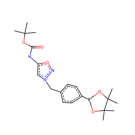 CC(C)(C)OC(=O)[N-]c1c[n+](Cc2ccc(B3OC(C)(C)C(C)(C)O3)cc2)no1